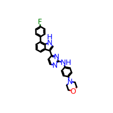 Fc1ccc(-c2cccc3c(-c4ccnc(Nc5ccc(N6CCOCC6)cc5)n4)c[nH]c23)cc1